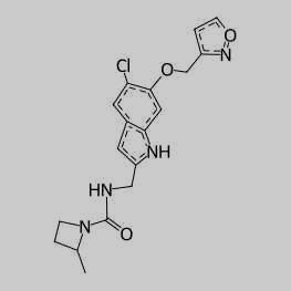 CC1CCN1C(=O)NCc1cc2cc(Cl)c(OCc3ccon3)cc2[nH]1